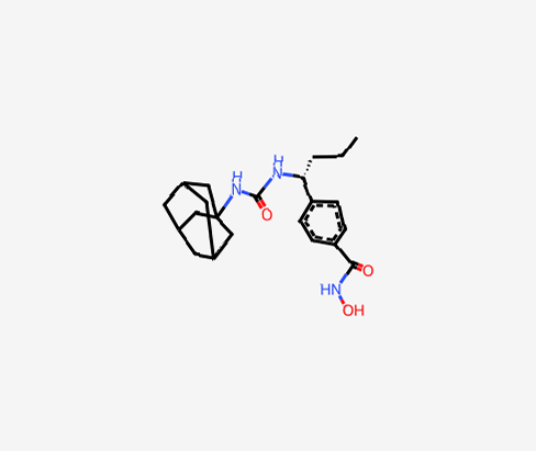 CCC[C@@H](NC(=O)NC12CC3CC(CC(C3)C1)C2)c1ccc(C(=O)NO)cc1